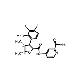 COc1c(C2C(C(=O)Nc3ccnc(C(N)=O)c3)O[C@H](C)[C@@H]2C)ccc(F)c1F